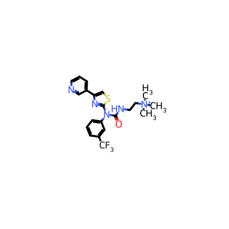 C[N+](C)(C)CCNC(=O)N(c1cccc(C(F)(F)F)c1)c1nc(-c2cccnc2)cs1